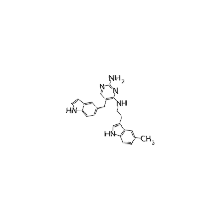 Cc1ccc2[nH]cc(CCNc3nc(N)ncc3Cc3ccc4[nH]ccc4c3)c2c1